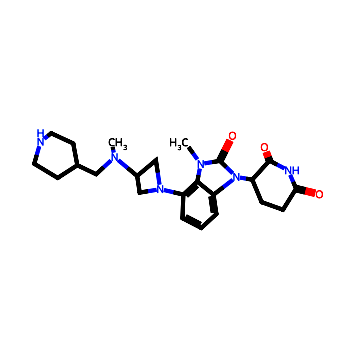 CN(CC1CCNCC1)C1CN(c2cccc3c2n(C)c(=O)n3C2CCC(=O)NC2=O)C1